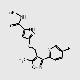 CCCNC(=O)c1cc(OCc2c(-c3ccc(F)cn3)noc2C)n[nH]1